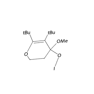 COC1(OI)CCOC(C(C)(C)C)=C1C(C)(C)C